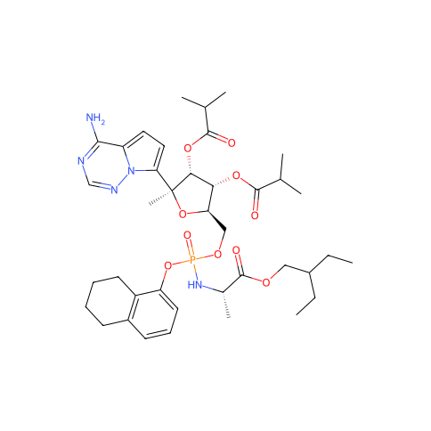 CCC(CC)COC(=O)[C@H](C)NP(=O)(OC[C@H]1O[C@@](C)(c2ccc3c(N)ncnn23)[C@H](OC(=O)C(C)C)[C@@H]1OC(=O)C(C)C)Oc1cccc2c1CCCC2